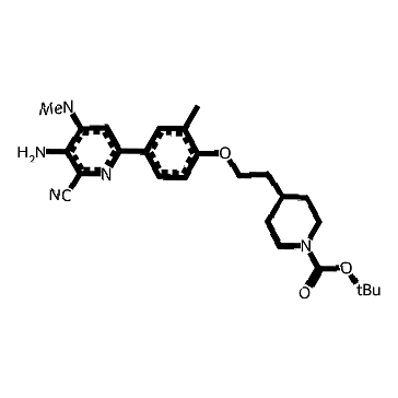 CNc1cc(-c2ccc(OCCC3CCN(C(=O)OC(C)(C)C)CC3)c(C)c2)nc(C#N)c1N